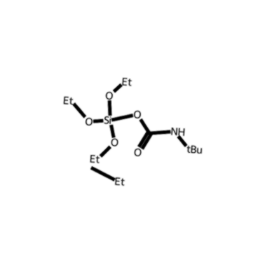 CCC.CCO[Si](OCC)(OCC)OC(=O)NC(C)(C)C